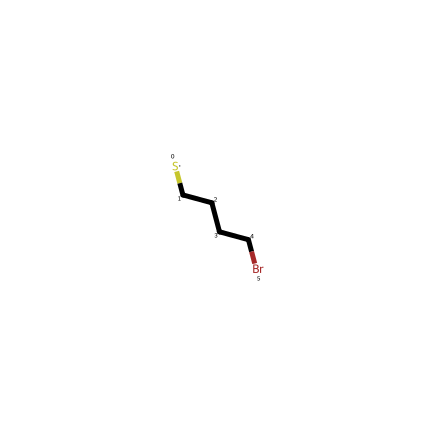 [S]CCCCBr